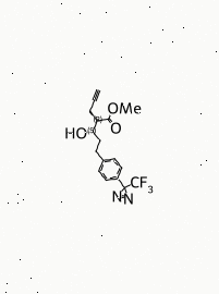 C#CC[C@@H](C(=O)OC)[C@@H](O)CCc1ccc(C2(C(F)(F)F)N=N2)cc1